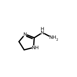 NNC1=NCCN1